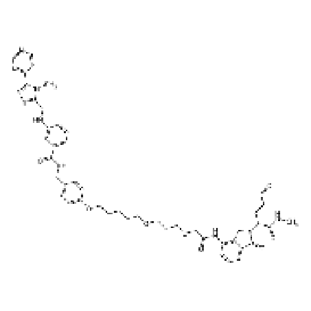 CNC(=O)C(CCC=O)N1Cc2c(NC(=O)COCCCOCCCCCOc3ccc(CNC(=O)c4cccc(NCc5nnc(-c6ccncn6)n5C)c4)cc3)cccc2C1=O